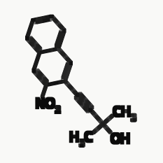 CC(C)(O)C#Cc1cc2ccccc2cc1[N+](=O)[O-]